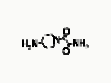 NC(=O)C(=O)N1CCC(N)CC1